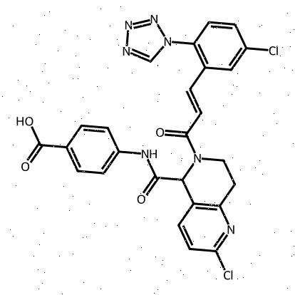 O=C(O)c1ccc(NC(=O)C2c3ccc(Cl)nc3CCN2C(=O)C=Cc2cc(Cl)ccc2-n2cnnn2)cc1